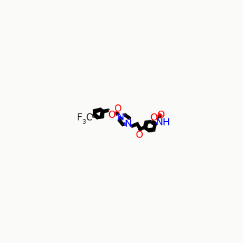 O=C(CCN1CCN(C(=O)OCc2ccc(C(F)(F)F)cc2)CC1)c1ccc2[nH]c(=O)oc2c1